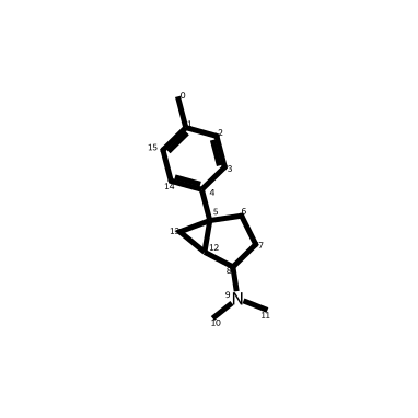 Cc1ccc(C23CCC(N(C)C)C2C3)cc1